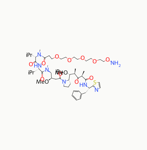 CC[C@H](C)[C@@H]([C@@H](CC(=O)N1CCC[C@H]1[C@H](OC)[C@@H](C)C(=O)[C@@H](C)C(=O)N[C@@H](Cc1ccccc1)c1nccs1)OC)N(C)C(=O)[C@@H](NC(=O)[C@H](C(C)C)N(C)C(=O)CCOCCOCCOCCOCCON)C(C)C